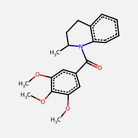 COc1cc(C(=O)N2c3ccccc3CCC2C)cc(OC)c1OC